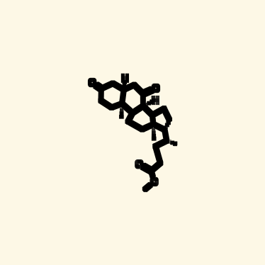 COC(=O)CC[C@@H](C)[C@H]1CCC2[C@@H]3C(=O)C[C@@H]4CC(=O)CC[C@]4(C)C3CC[C@@]21C